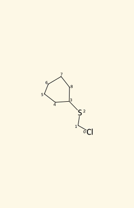 ClCSC1CCCCC1